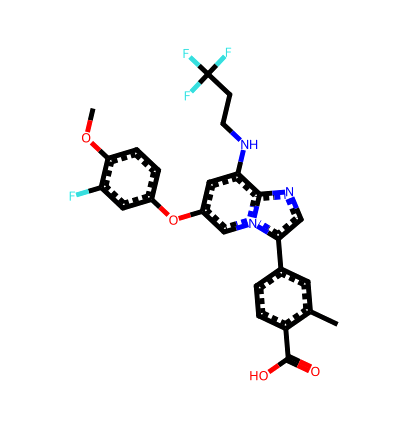 COc1ccc(Oc2cc(NCCC(F)(F)F)c3ncc(-c4ccc(C(=O)O)c(C)c4)n3c2)cc1F